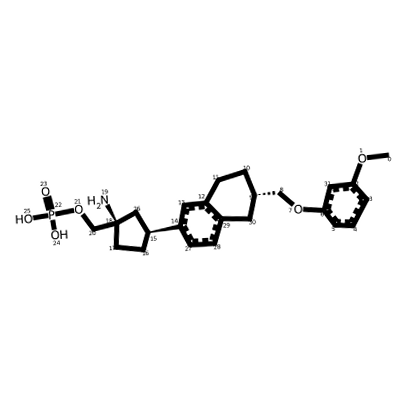 COc1cccc(OC[C@H]2CCc3cc([C@H]4CC[C@](N)(COP(=O)(O)O)C4)ccc3C2)c1